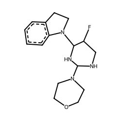 FC1CNC(N2CCOCC2)NC1N1CCc2ccccc21